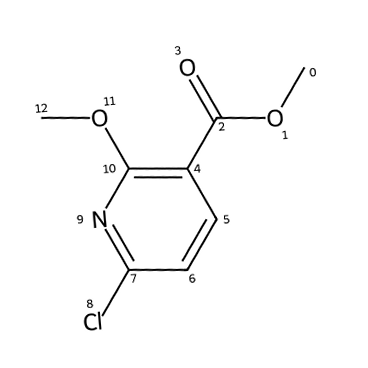 COC(=O)c1ccc(Cl)nc1OC